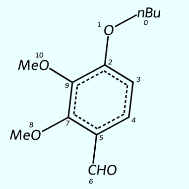 CCCCOc1ccc(C=O)c(OC)c1OC